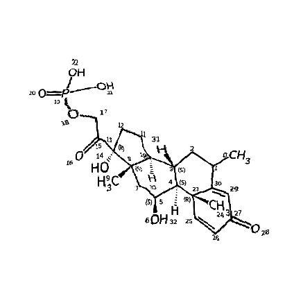 CC1C[C@@H]2[C@H]([C@@H](O)C[C@@]3(C)[C@H]2CC[C@]3(O)C(=O)COP(=O)(O)O)[C@@]2(C)C=CC(=O)C=C12